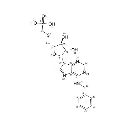 O=P(O)(O)CSC[C@H]1O[C@@H](n2cnc3c(NCc4ccccc4)ncnc32)C(O)[C@@H]1O